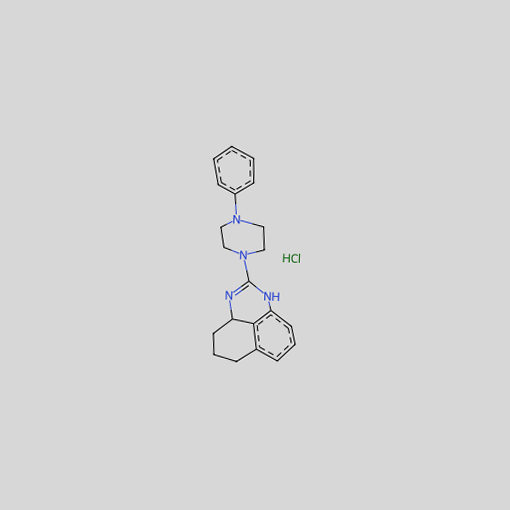 Cl.c1ccc(N2CCN(C3=NC4CCCc5cccc(c54)N3)CC2)cc1